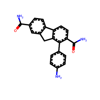 NC(=O)c1ccc2c(c1)Cc1c-2ccc(C(N)=O)c1-c1ccc(N)cc1